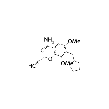 C#CCOc1c(C(N)=O)cc(OC)c(CC2CCCC2)c1OC